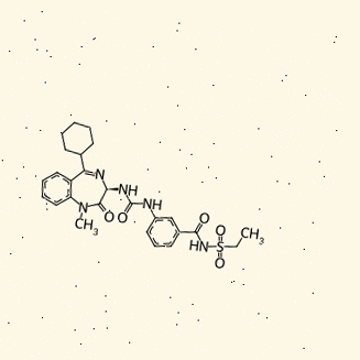 CCS(=O)(=O)NC(=O)c1cccc(NC(=O)N[C@@H]2N=C(C3CCCCC3)c3ccccc3N(C)C2=O)c1